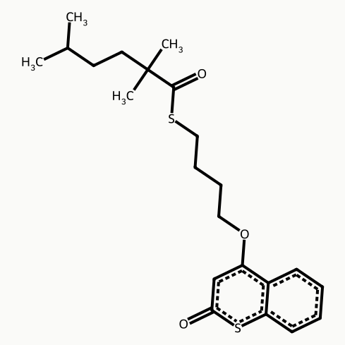 CC(C)CCC(C)(C)C(=O)SCCCCOc1cc(=O)sc2ccccc12